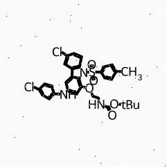 Cc1ccc(S(=O)(=O)n2c3ccc(Cl)cc3c3cc(Nc4ccc(Cl)cc4)cc(OCCNC(=O)OC(C)(C)C)c32)cc1